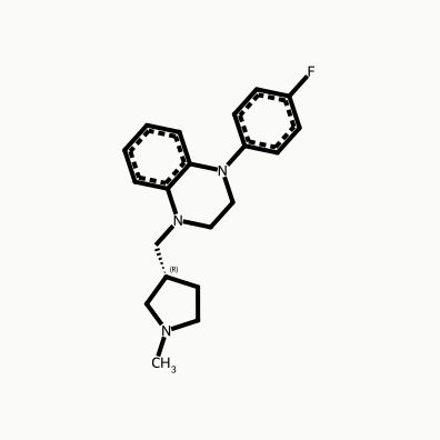 CN1CC[C@@H](CN2CCN(c3ccc(F)cc3)c3ccccc32)C1